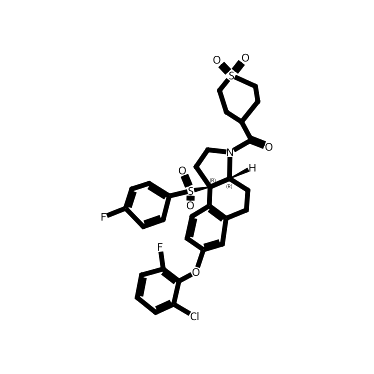 O=C(C1CCS(=O)(=O)CC1)N1CC[C@@]2(S(=O)(=O)c3ccc(F)cc3)c3ccc(Oc4c(F)cccc4Cl)cc3CC[C@@H]12